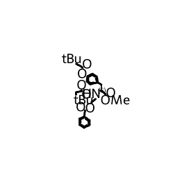 COC(=O)[C@H](Cc1ccc(OC(=O)CC(C)(C)C)c(OC(=O)CC(C)(C)C)c1)NCCOC(=O)c1ccccc1